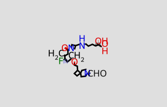 C=C(/C=C(/F)C(=C)CC(=O)N1CC(CNCCCC[C@H](O)CO)C1)OCCC1CCC12CCN(C=O)CC2